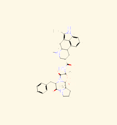 CN1C[C@H](C(=O)N[C@]2(C)O[C@@]3(O)[C@@H]4CCCN4C(=O)C(Cc4ccccc4)N3C2=O)CC2c3cccc4[nH]c(C(F)(F)F)c(c34)CC21